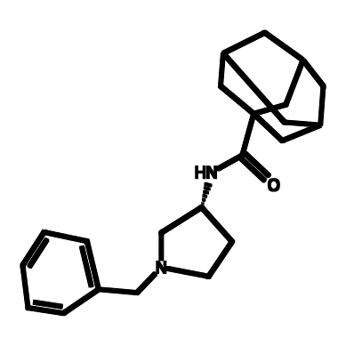 O=C(N[C@@H]1CCN(Cc2ccccc2)C1)C12CC3CC(CC(C3)C1)C2